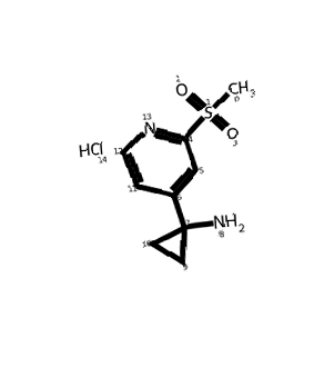 CS(=O)(=O)c1cc(C2(N)CC2)ccn1.Cl